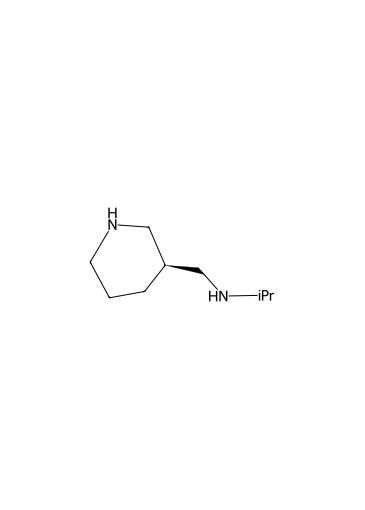 CC(C)NC[C@H]1CCCNC1